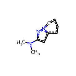 CN(C)c1cc2ccccn2n1